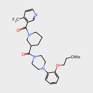 COCCOc1ccccc1N1CCN(C(=O)C2CCCN(C(=O)c3cnccc3C(F)(F)F)C2)CC1